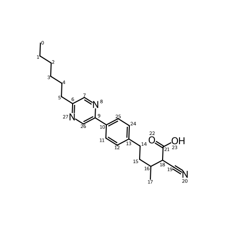 CCCCCCc1cnc(-c2ccc(CCC(C)C(C#N)C(=O)O)cc2)cn1